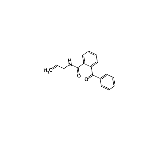 C=CCNC(=O)c1ccccc1C(=O)c1ccccc1